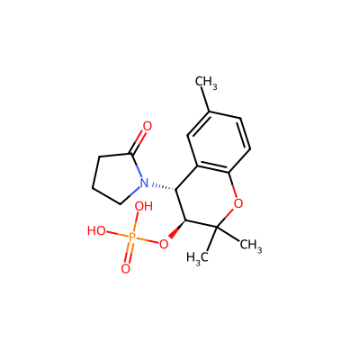 Cc1ccc2c(c1)[C@@H](N1CCCC1=O)[C@H](OP(=O)(O)O)C(C)(C)O2